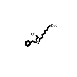 C=CC[N+](C)(CCCCCCCCCCCCCCCCCC)CCc1ccccc1.[Cl-]